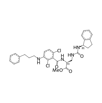 COC(=O)[C@H](CNC(=O)N[C@@H]1CCc2ccccc21)NC(=O)c1c(Cl)ccc(NCCCc2ccccc2)c1Cl